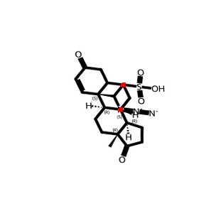 C[C@@]12CC[C@@H]3[C@H](CCC4CC(=O)C=C[C@]43C(CS(=O)(=O)O)N=[N+]=[N-])[C@H]1CCC2=O